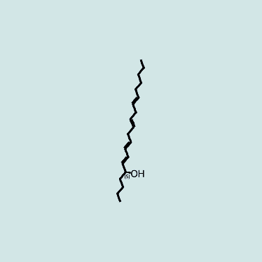 CCCCCC=CCC=CCC=CC=C[C@@H](O)CCCC